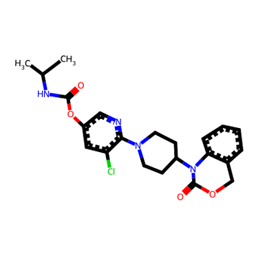 CC(C)NC(=O)Oc1cnc(N2CCC(N3C(=O)OCc4ccccc43)CC2)c(Cl)c1